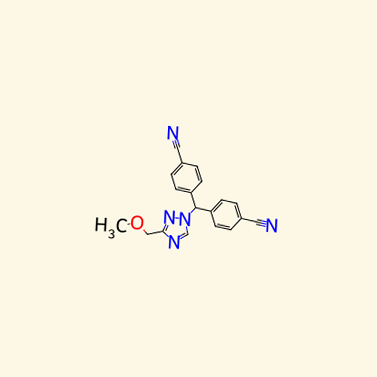 COCc1ncn(C(c2ccc(C#N)cc2)c2ccc(C#N)cc2)n1